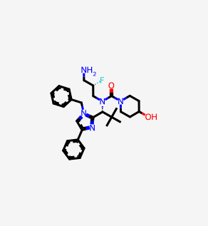 CC(C)(C)[C@H](c1nc(-c2ccccc2)cn1Cc1ccccc1)N(C[C@@H](F)CN)C(=O)N1CCC(O)CC1